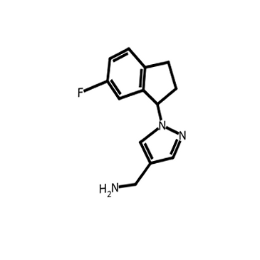 NCc1cnn(C2CCc3ccc(F)cc32)c1